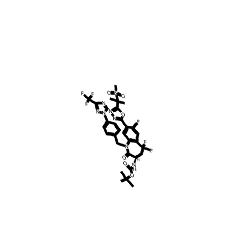 CC(C)(C)OC(=O)N[C@@H]1CC(F)(F)c2cc(F)c(-c3nnc(C(C)(C)S(C)(=O)=O)o3)cc2N(Cc2ccc(-n3cnc(C(F)(F)F)n3)cc2)C1=O